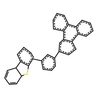 C1=CC2Sc3c(-c4cccc(-c5ccc6c7ccccc7c7ccccc7c6c5)c4)cccc3C2C=C1